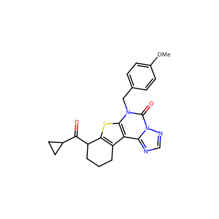 COc1ccc(Cn2c(=O)n3ncnc3c3c4c(sc32)C(C(=O)C2CC2)CCC4)cc1